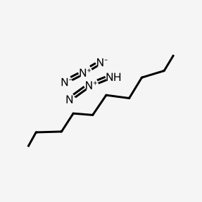 CCCCCCCCCC.[N-]=[N+]=N.[N-]=[N+]=[N-]